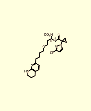 O=C(O)[C@H](CCOCCCCc1ccc2c(n1)NCCC2)NC(=O)C1(n2ccc(Cl)n2)CC1